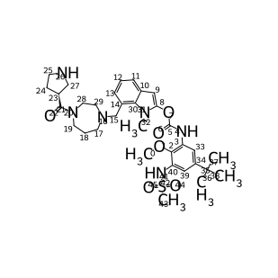 COc1c(NC(=O)Oc2cc3cccc(CN4CCCN(C(=O)[C@H]5CCNC5)CC4)c3n2C)cc(C(C)(C)C)cc1NS(C)(=O)=O